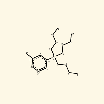 CCC[CH2][Sn]([CH2]CCC)([CH2]CCC)[c]1cncc(C)c1